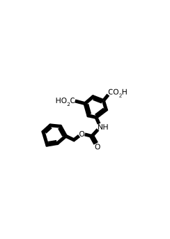 O=C(Nc1cc(C(=O)O)cc(C(=O)O)c1)OCc1ccccc1